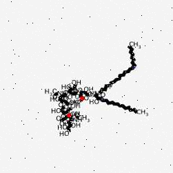 CCCCCCCC/C=C\CCCCCCCCCCCCCC(=O)N[C@@H](CO[C@@H]1OC(CO)[C@@H](O[C@@H]2OC(CO)[C@H](O)[C@H](O[C@@H]3OC(CO)[C@@H](O[C@@H]4OC(CO)[C@H](O)[C@H](O[C@]5(C(=O)O)CC(O)[C@@H](NC(C)=O)C([C@H](O)[C@H](O)CO)O5)C4O)[C@H](O)C3NC(C)=O)C2O)[C@H](O)C1O)[C@H](O)/C=C/CCCCCCCCCCCCC